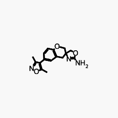 Cc1noc(C)c1-c1ccc2c(c1)CC1(COC(N)=N1)CO2